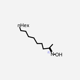 CCCCCCCCCCCCC/C(C)=N/O